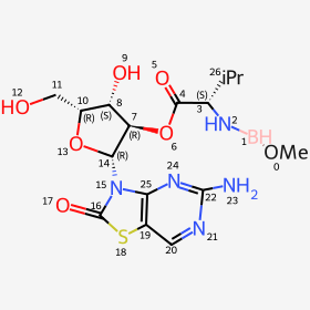 COBN[C@H](C(=O)O[C@@H]1[C@@H](O)[C@@H](CO)O[C@H]1n1c(=O)sc2cnc(N)nc21)C(C)C